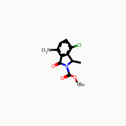 CC1c2c(Cl)ccc([N+](=O)[O-])c2C(=O)N1C(=O)OC(C)(C)C